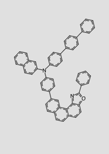 c1ccc(-c2ccc(-c3ccc(N(c4ccc(-c5ccc6ccc7ccc8oc(-c9ccccc9)nc8c7c6c5)cc4)c4ccc5ccccc5c4)cc3)cc2)cc1